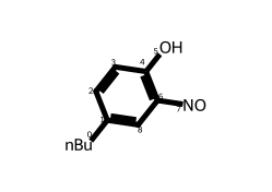 CCCCc1ccc(O)c(N=O)c1